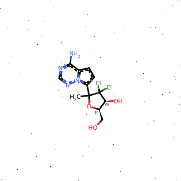 CC1(c2ccc3c(N)ncnn23)O[C@H](CO)[C@H](O)C1(Cl)Cl